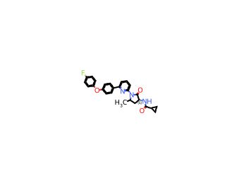 CC1C[C@H](NC(=O)C2CC2)C(=O)N1c1cccc(-c2ccc(Oc3ccc(F)cc3)cc2)n1